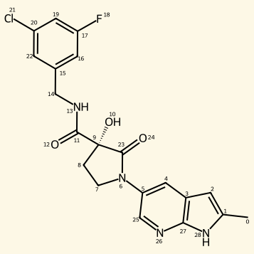 Cc1cc2cc(N3CC[C@@](O)(C(=O)NCc4cc(F)cc(Cl)c4)C3=O)cnc2[nH]1